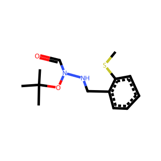 CSc1ccccc1CNN(C=O)OC(C)(C)C